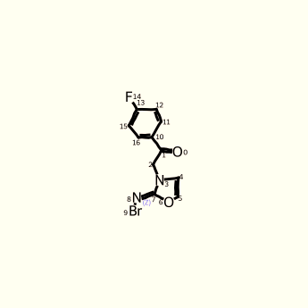 O=C(Cn1cco/c1=N\Br)c1ccc(F)cc1